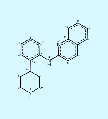 c1cnc(Nc2ccc3ccccc3n2)c(C2CCNCC2)c1